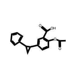 CC(=O)Oc1ccc(C2CC2c2ccccc2)cc1C(=O)O